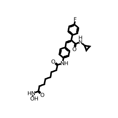 O=C(CCCCCCC(=O)Nc1ccc(C=C(C(=O)NC2CC2)c2ccc(F)cc2)cc1)NO